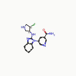 NC(=O)c1cncc(-n2c(N[C@H]3CNC[C@H]3F)nc3ccccc32)c1